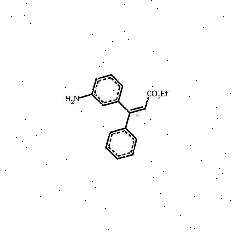 CCOC(=O)/C=C(/c1ccccc1)c1cccc(N)c1